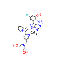 C[C@H](c1cc2ccccn2c1-c1ccc(CN(CCO)CCO)cn1)n1nc(-c2cc(O)cc(F)c2)c2c(N)ncnc21